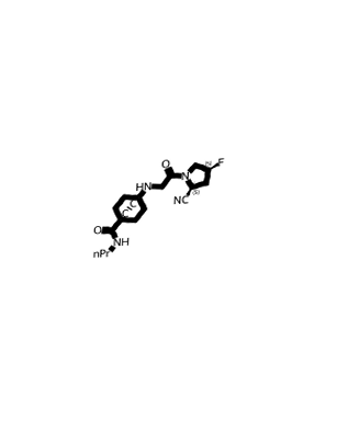 CCCNC(=O)C12CCC(NCC(=O)N3C[C@@H](F)C[C@H]3C#N)(CC1)CC2